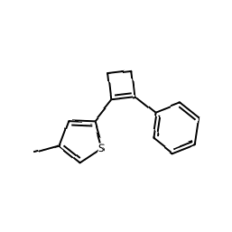 Cc1csc(C2=C(c3ccccc3)CC2)c1